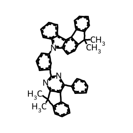 CC1(C)c2ccccc2-c2c1ccc1c2c2ccccc2n1-c1cccc(-c2nc(-c3ccccc3)c3c(n2)C(C)(C)c2ccccc2-3)c1